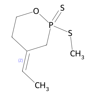 C/C=C1/CCOP(=S)(SC)C1